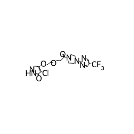 O=C(CCOCCOc1cn[nH]c(=O)c1Cl)N1CCN(c2ncc(C(F)(F)F)cn2)CC1